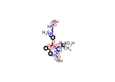 C[C@H]1[C@H](NC(=O)/C(=N\OC(COc2ccc3c(c2)c[n+](C)n3CCCNC(=O)OC(C)(C)C)C(=O)OC(c2ccccc2)c2ccccc2)c2csc(NC(=O)OC(C)(C)C)n2)C(=O)N1S(=O)(=O)O